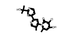 Cc1cnc(-c2ccnc(C(C)(C)O)n2)cc1-n1c(C)cc(O)c(Cl)c1=O